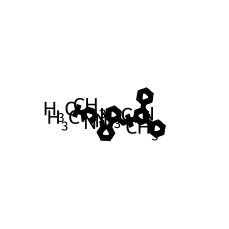 CC(C)(C)c1ccc(-n2c3ccccc3c3c(CC(C)(C)c4cc(-c5ccccc5)nc(-c5ccccc5)c4)cccc32)nc1